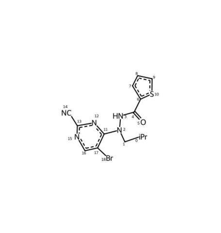 CC(C)CN(NC(=O)c1cccs1)c1nc(C#N)ncc1Br